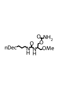 CCCCCCCCCCCCCNC(=O)NC(COC)COC(N)=O